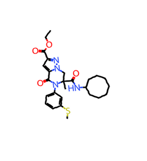 CCOC(=O)c1cc2n(n1)CC(C)(C(=O)NC1CCCCCCC1)N(c1cccc(SC)c1)C2=O